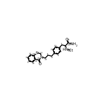 CCNC(Cc1ccc(CCCN2CSc3ccccc3C2=O)cc1)C(N)=O